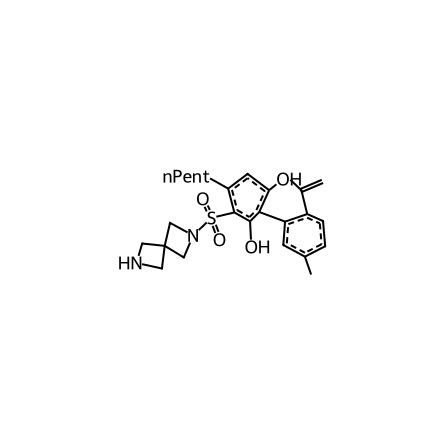 C=C(C)c1ccc(C)cc1-c1c(O)cc(CCCCC)c(S(=O)(=O)N2CC3(CNC3)C2)c1O